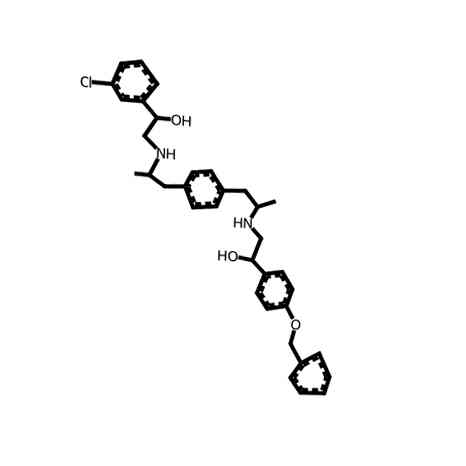 CC(Cc1ccc(CC(C)NCC(O)c2cccc(Cl)c2)cc1)NCC(O)c1ccc(OCc2ccccc2)cc1